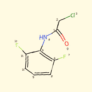 O=C(CCl)Nc1c(F)cccc1F